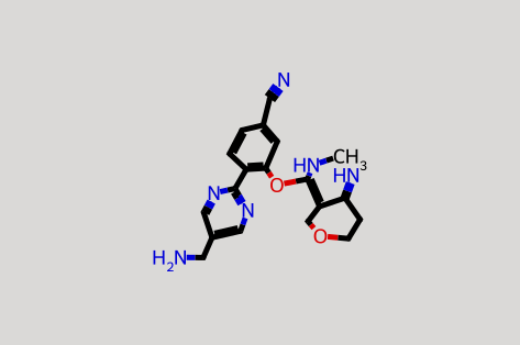 CN/C(Oc1cc(C#N)ccc1-c1ncc(CN)cn1)=C1/COCCC1=N